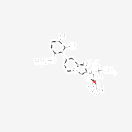 COc1ccc(Cl)c(Cl)c1-c1ccn2cc(CN3CC4CC(C3)N4C(=O)OC(C)(C)C)nc2c1